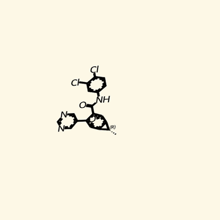 C[C@H]1c2c1c1oc2c(C(=O)Nc2ccc(Cl)c(Cl)c2)c1-c1cncnc1